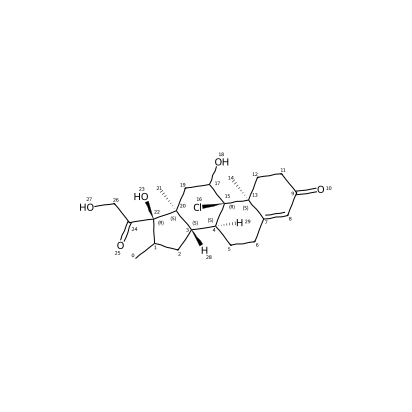 CC1C[C@H]2[C@@H]3CCC4=CC(=O)CC[C@]4(C)[C@@]3(Cl)C(O)C[C@]2(C)[C@@]1(O)C(=O)CO